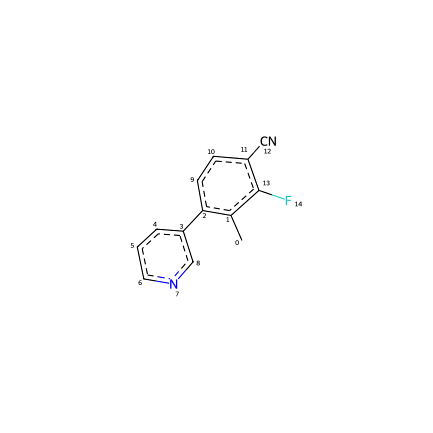 Cc1c(-c2cccnc2)ccc(C#N)c1F